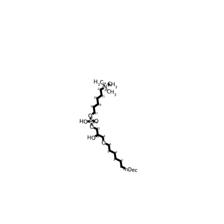 CCCCCCCCCCCCCCCCOCC(O)COP(=O)(O)OCCCCCC[N+](C)(C)C